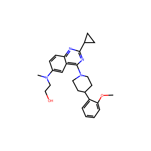 COc1ccccc1C1CCN(c2nc(C3CC3)nc3ccc(N(C)CCO)cc23)CC1